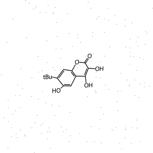 CC(C)(C)c1cc2oc(=O)c(O)c(O)c2cc1O